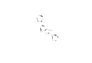 c1ccc(-c2cnc3nc(-c4ccccc4)[nH]c3c2)cc1